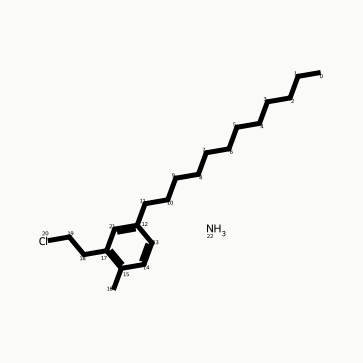 CCCCCCCCCCCCc1ccc(C)c(CCCl)c1.N